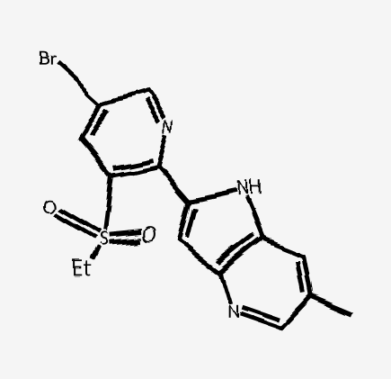 CCS(=O)(=O)c1cc(Br)cnc1-c1cc2ncc(C)cc2[nH]1